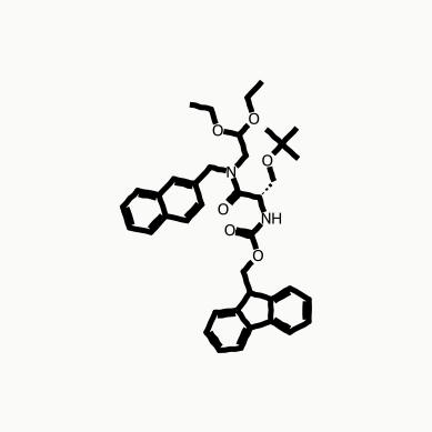 CCOC(CN(Cc1ccc2ccccc2c1)C(=O)[C@H](COC(C)(C)C)NC(=O)OCC1c2ccccc2-c2ccccc21)OCC